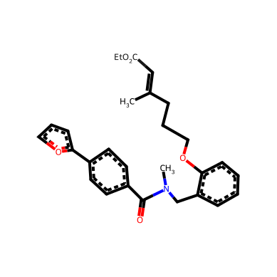 CCOC(=O)/C=C(\C)CCCOc1ccccc1CN(C)C(=O)c1ccc(-c2ccco2)cc1